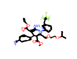 CCOC(=O)C1=C(N)N(c2cccc(C(F)(F)F)c2)C(COCCOC(C)C)=C(C(=O)OC)C1c1ccc(C#N)cc1